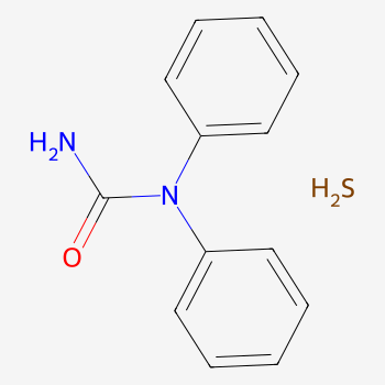 NC(=O)N(c1ccccc1)c1ccccc1.S